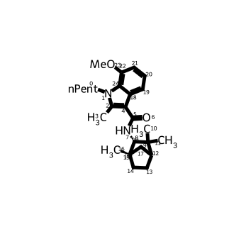 CCCCCn1c(C)c(C(=O)N[C@@H]2C(C)(C)C3CC[C@@]2(C)C3)c2cccc(OC)c21